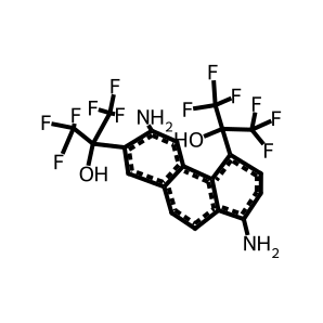 Nc1cc2c(ccc3c(N)ccc(C(O)(C(F)(F)F)C(F)(F)F)c32)cc1C(O)(C(F)(F)F)C(F)(F)F